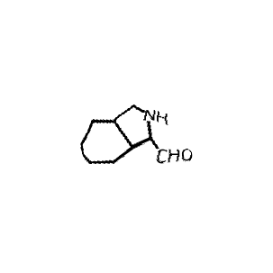 O=CC1NCC2CCCCC21